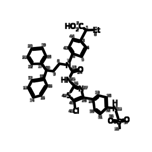 CCC(C(=O)O)c1ccc(N(CCC(c2ccccc2)c2ccccc2)C(=O)Nc2nc(-c3ccc(NS(C)(=O)=O)cc3)c(Cl)s2)cc1